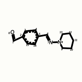 O=Cc1ccc(C=NN2CCCCC2)cc1